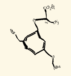 CCCCOc1ccc(Br)c(O[C@H](C)C(=O)OCC)c1